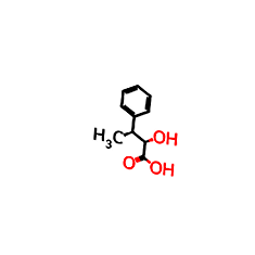 C[C@@H](c1ccccc1)[C@@H](O)C(=O)O